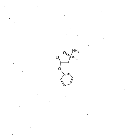 CCC(CS(N)(=O)=O)Oc1ccccc1